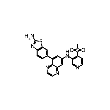 CS(=O)(=O)c1ccncc1Nc1cc(-c2ccc3nc(N)sc3c2)c2nccnc2c1